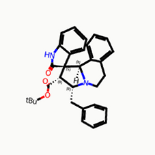 CC(C)(C)OC(=O)[C@H]1[C@@H](Cc2ccccc2)N2CCc3ccccc3[C@@H]2[C@]12C(=O)Nc1ccccc12